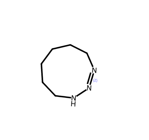 C1CCCN/N=N\CC1